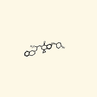 CC(=O)N1CCC(Nc2ccc3c(c2)C(=O)N(CC(C)CN2CCc4ccccc4C2)CC32CC2)CC1